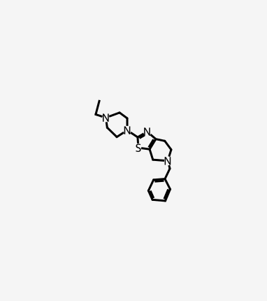 CCN1CCN(c2nc3c(s2)CN(Cc2ccccc2)CC3)CC1